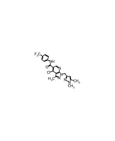 Cc1nn(Cc2cc(C)n(C)n2)c2ncc(C(=O)Nc3ccc(C(F)(F)F)cc3)c(Cl)c12